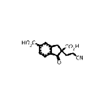 N#CCCC1(C(=O)O)Cc2cc(C(=O)O)ccc2C1=O